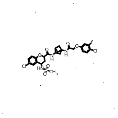 CS(=O)(=O)NC1CC(C(=O)NC2CC3(NC(=O)COc4ccc(Cl)c(F)c4)CC2C3)Oc2ccc(Cl)cc21